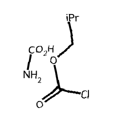 CC(C)COC(=O)Cl.NC(=O)O